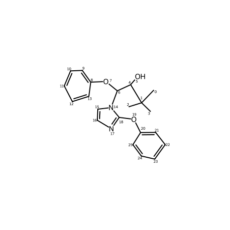 CC(C)(C)C(O)C(Oc1ccccc1)n1ccnc1Oc1ccccc1